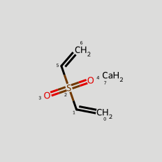 C=CS(=O)(=O)C=C.[CaH2]